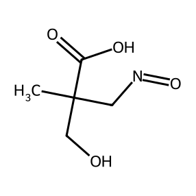 CC(CO)(CN=O)C(=O)O